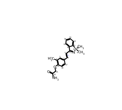 Cc1cc(/C=C/C2=N[N+](C)(C)c3ccccc32)ccc1OCC(N)=O